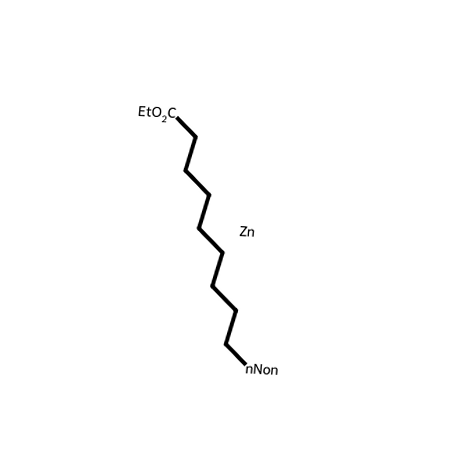 CCCCCCCCCCCCCCCCCC(=O)OCC.[Zn]